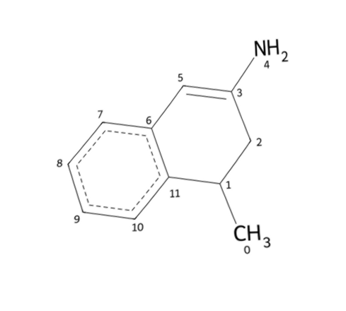 CC1CC(N)=Cc2ccccc21